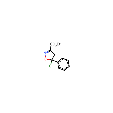 CCOC(=O)C1=NOC(Cl)(c2ccccc2)C1